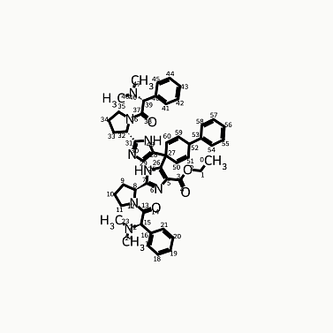 CCOC(=O)c1nc([C@@H]2CCCN2C(=O)[C@@H](c2ccccc2)N(C)C)[nH]c1C1(c2cnc([C@@H]3CCCN3C(=O)[C@@H](c3ccccc3)N(C)C)[nH]2)C=CC(c2ccccc2)C=C1